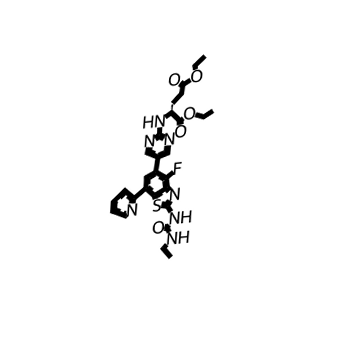 CCNC(=O)Nc1nc2c(F)c(-c3cnc(N[C@H](CCC(=O)OCC)C(=O)OCC)nc3)cc(-c3ccccn3)c2s1